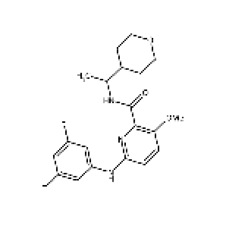 COc1ccc(Nc2cc(F)cc(F)c2)nc1C(=O)NC(C)C1CCOCC1